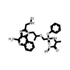 CCNCc1nc2c(N)nc3ccccc3c2n1CC(C)OCP(=O)(NC(C)C(=O)OC(C)C)Oc1ccccc1